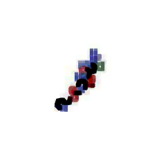 CO[C@@H]1CN(CC(=O)OCCc2ccccn2)CC[C@@H]1NC(=O)c1cc(Cl)c(N)[nH]c1=O